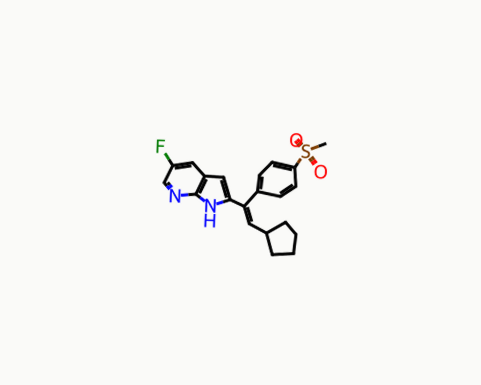 CS(=O)(=O)c1ccc(/C(=C\C2CCCC2)c2cc3cc(F)cnc3[nH]2)cc1